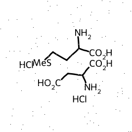 CSCCC(N)C(=O)O.Cl.Cl.NC(CC(=O)O)C(=O)O